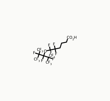 O=C(O)CCCC(F)(F)C(F)(F)OC(F)(C(F)(C(F)(F)F)C(F)(F)F)C(F)(C(F)(F)F)C(F)(F)F